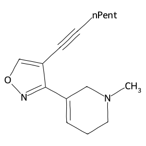 CCCCCC#Cc1conc1C1=CCCN(C)C1